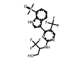 CP(C)(=O)c1cccc2c(-c3nc(NC(CO)C(F)(F)F)ncc3C(F)(F)F)c[nH]c12